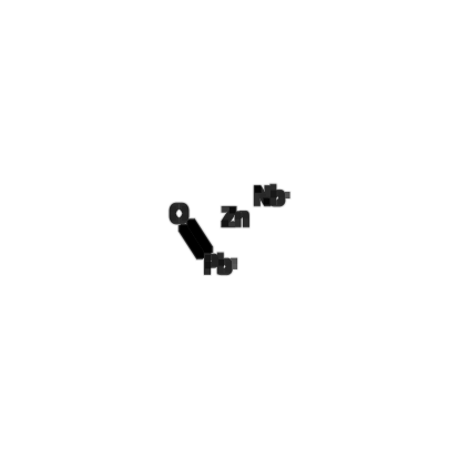 [Nb].[O]=[Pb].[Zn]